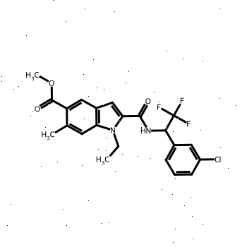 CCn1c(C(=O)NC(c2cccc(Cl)c2)C(F)(F)F)cc2cc(C(=O)OC)c(C)cc21